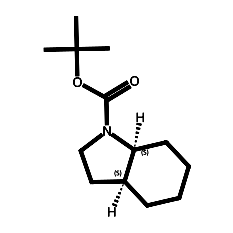 CC(C)(C)OC(=O)N1CC[C@@H]2CCCC[C@@H]21